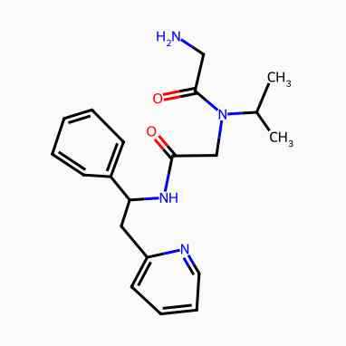 CC(C)N(CC(=O)NC(Cc1ccccn1)c1ccccc1)C(=O)CN